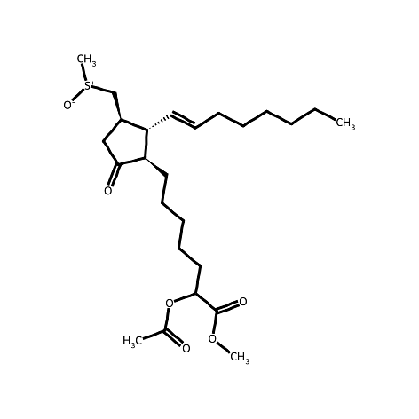 CCCCCCC=C[C@H]1[C@H](C[S+](C)[O-])CC(=O)[C@@H]1CCCCCC(OC(C)=O)C(=O)OC